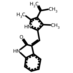 C=C(C)c1c(C)[nH]c(/C=C2\C(=O)Nc3ccccc32)c1C